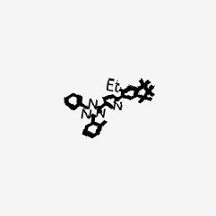 CCc1cc2c(cc1-c1ccc(-c3nc(C4=CCCC=C4)nc(C4CC=CC=C4C)n3)cn1)C(C)(C)C(C)(C)C2(C)C